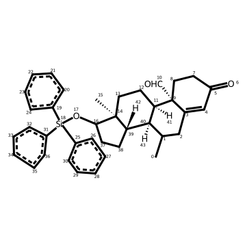 CC1CC2=CC(=O)CC[C@]2(C=O)[C@@H]2CC[C@]3(C)C(O[Si](c4ccccc4)(c4ccccc4)c4ccccc4)CC[C@H]3[C@H]12